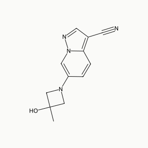 CC1(O)CN(c2ccc3c(C#N)cnn3c2)C1